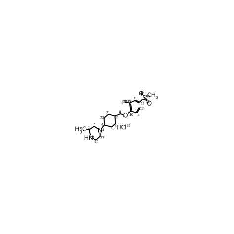 CC1CN(C2CCC(COc3ccc(S(C)(=O)=O)cc3F)CC2)CCN1.Cl